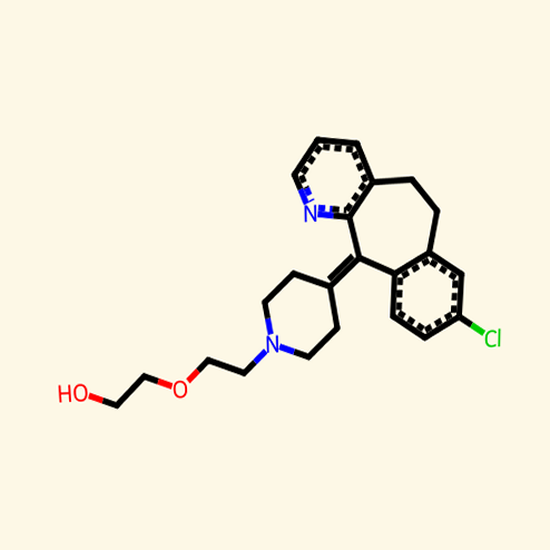 OCCOCCN1CCC(=C2c3ccc(Cl)cc3CCc3cccnc32)CC1